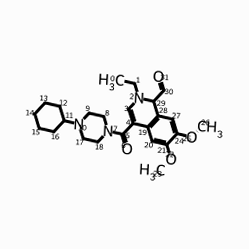 CCN1C=C(C(=O)N2CCN(C3CCCCC3)CC2)c2cc(OC)c(OC)cc2C1C=O